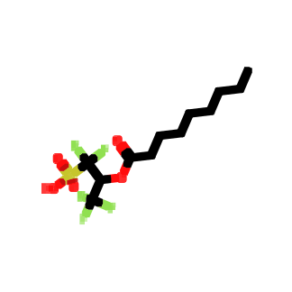 CCCCCCCCC(=O)OC(C(F)(F)F)C(F)(F)S(=O)(=O)O